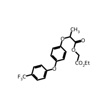 CCOC(=O)COC(=O)C(C)Oc1ccc(Oc2ccc(C(F)(F)F)cc2)cc1